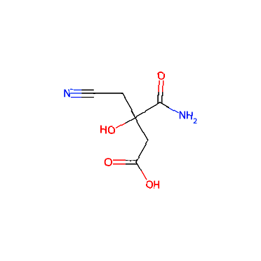 N#CCC(O)(CC(=O)O)C(N)=O